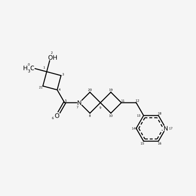 CC1(O)CC(C(=O)N2CC3(CC(Cc4cccnc4)C3)C2)C1